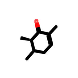 CC1=CCC(C)[C@@H](C)C1=O